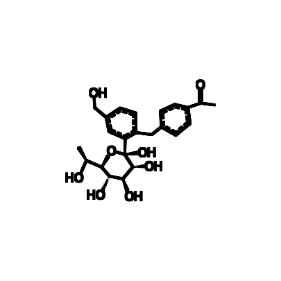 CC(=O)c1ccc(Cc2ccc(CO)cc2[C@@]2(O)O[C@H]([C@H](C)O)[C@@H](O)[C@H](O)[C@H]2O)cc1